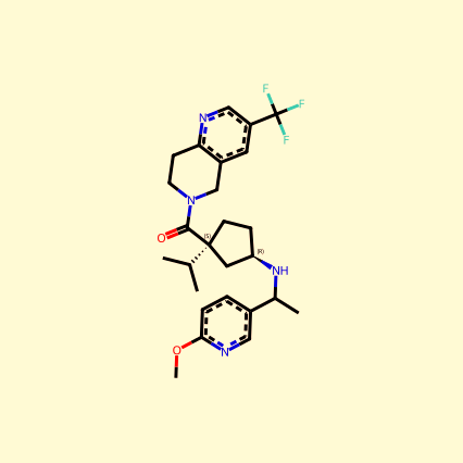 COc1ccc(C(C)N[C@@H]2CC[C@@](C(=O)N3CCc4ncc(C(F)(F)F)cc4C3)(C(C)C)C2)cn1